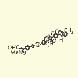 CNC(=O)C(CCC=O)c1ccc(C2CC(N3CCN(c4ccc5c(c4)CCn4nc(-c6ccc(C(=O)Nc7cccc(C)n7)c(C)c6F)c(C(N)=O)c4N5)CC3)C2)cc1